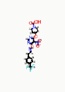 O=C(O)N1CCC(Oc2ncnc(ON=CCc3ccc(C(F)(F)F)cc3)c2[N+](=O)[O-])CC1